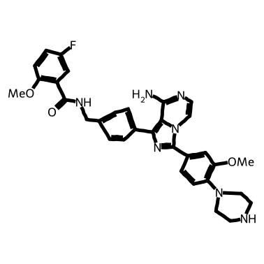 COc1ccc(F)cc1C(=O)NCc1ccc(-c2nc(-c3ccc(N4CCNCC4)c(OC)c3)n3ccnc(N)c23)cc1